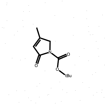 CC1=CC(=O)N(C(=O)OC(C)(C)C)C1